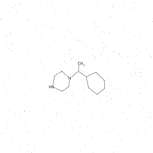 CC(C1CCCCC1)N1CCNCC1